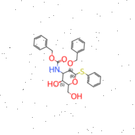 O=C(NC1[C@H](O)C(CO)O[C@H](Sc2ccccc2)[C@H]1OCc1ccccc1)OCc1ccccc1